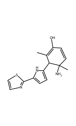 CC1=C(O)C=CC(C)(N)C1c1ccc(-c2nccs2)[nH]1